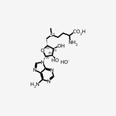 C[S+](CCC(N)C(=O)O)C[C@H]1O[C@@H](n2cnc3c(N)ncnc32)[C@H](O)[C@@H]1O.[OH-]